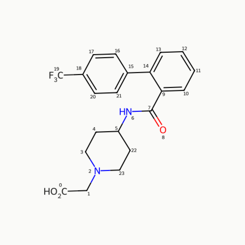 O=C(O)CN1CCC(NC(=O)c2ccccc2-c2ccc(C(F)(F)F)cc2)CC1